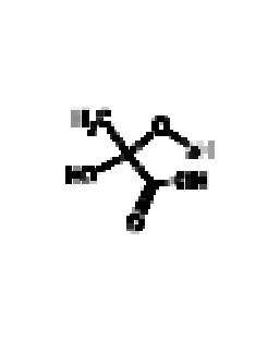 CC(O)(OS)C(=O)O